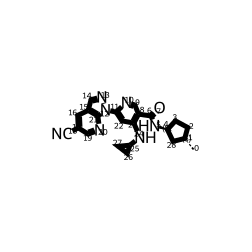 C[C@H]1CC[C@H](NC(=O)c2cnc(-n3ncc4cc(C#N)cnc43)cc2NC2CC2)C1